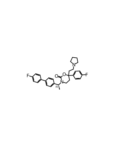 C[C@@H](c1ccc(-c2ccc(F)cc2)cc1)N1CCC(CCN2CCCC2)(c2ccc(F)cc2)OC1=O